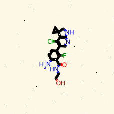 Nc1ccc(-c2cnc3c(c2Cl)C2(CC2)CN3)c(F)c1C(=O)NCCO